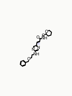 O=C(/C=C/c1cnc(NCCOCc2ccccc2)cn1)NOC1CCCCO1